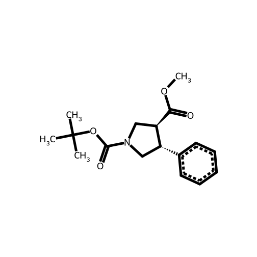 COC(=O)[C@@H]1CN(C(=O)OC(C)(C)C)C[C@H]1c1ccccc1